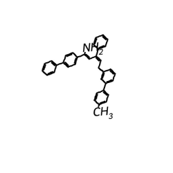 Cc1ccc(-c2cccc(C/C=C(\C=C(/N)c3ccc(-c4ccccc4)cc3)c3ccccc3)c2)cc1